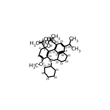 COC1=CCC(OC)(C(C)C)C(c2ccc(C(C)C)cc2C(C)C)=C1P(C1CCCCC1)C1CCCCC1